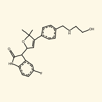 CC1(C)OC(C2C(=O)Nc3ccc(F)cc32)C=C1c1ccc(CNCCO)cc1